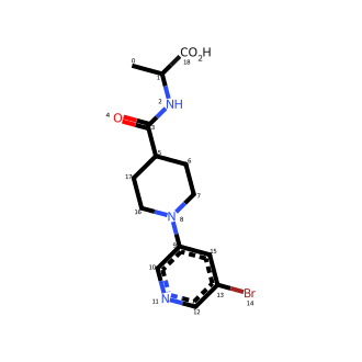 CC(NC(=O)C1CCN(c2cncc(Br)c2)CC1)C(=O)O